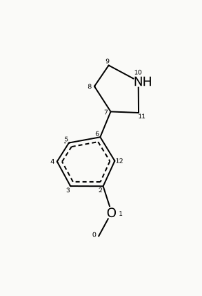 COc1cc[c]c(C2CCNC2)c1